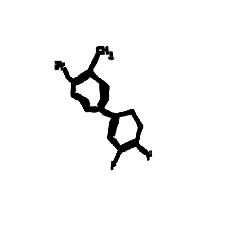 Cc1cc(C2=CC(F)=C(F)CC2)ccc1C(C)C